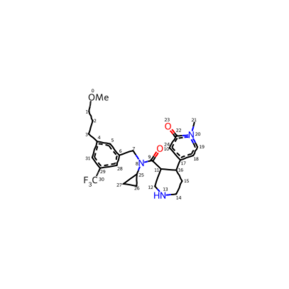 COCCCc1cc(CN(C(=O)C2CNCCC2c2ccn(C)c(=O)c2)C2CC2)cc(C(F)(F)F)c1